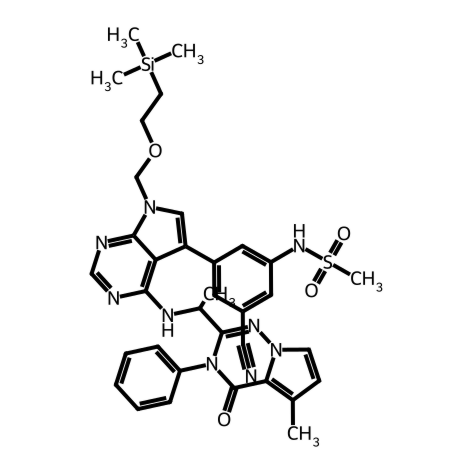 Cc1ccn2nc(C(C)Nc3ncnc4c3c(-c3cc(C#N)cc(NS(C)(=O)=O)c3)cn4COCC[Si](C)(C)C)n(-c3ccccc3)c(=O)c12